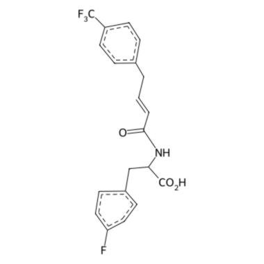 O=C(/C=C/Cc1ccc(C(F)(F)F)cc1)NC(Cc1ccc(F)cc1)C(=O)O